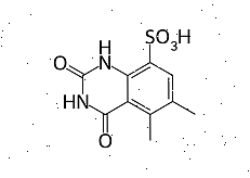 Cc1cc(S(=O)(=O)O)c2[nH]c(=O)[nH]c(=O)c2c1C